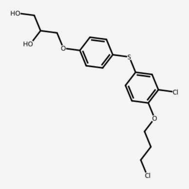 OCC(O)COc1ccc(Sc2ccc(OCCCCl)c(Cl)c2)cc1